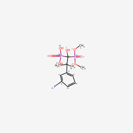 COP(=O)(OC)C(O)(C(C)(C)c1cccc(I)c1)P(=O)(O)O